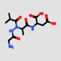 CC(C)C(=O)N(NC(=O)CN)C(C)C(=O)NC(CC(=O)O)C(=O)O